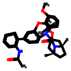 COc1cccc2c1Oc1cc(-c3ccccc3NC(C)=O)ccc1N2[C@H]1C[C@H]2CC[C@@H](C1)N2C(=O)OC(C)(C)C